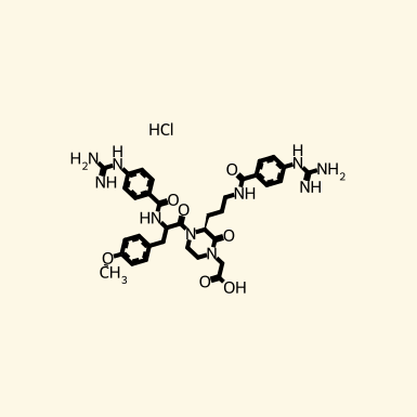 COc1ccc(CC(NC(=O)c2ccc(NC(=N)N)cc2)C(=O)N2CCN(CC(=O)O)C(=O)[C@@H]2CCCNC(=O)c2ccc(NC(=N)N)cc2)cc1.Cl